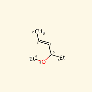 CC=CC(CC)OCC